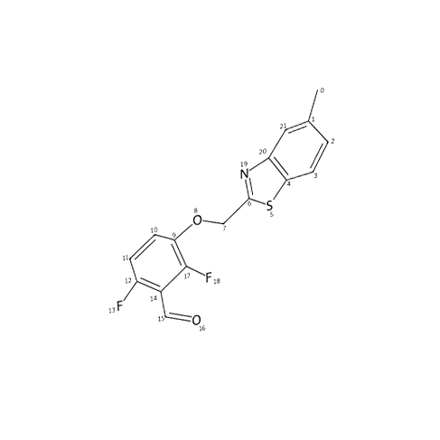 Cc1ccc2sc(COc3ccc(F)c(C=O)c3F)nc2c1